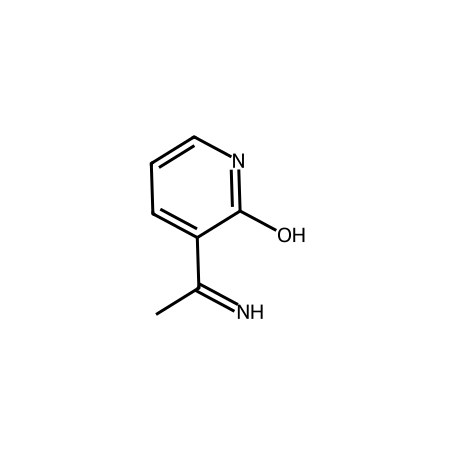 CC(=N)c1cccnc1O